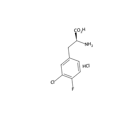 Cl.N[C@@H](Cc1ccc(F)c(Cl)c1)C(=O)O